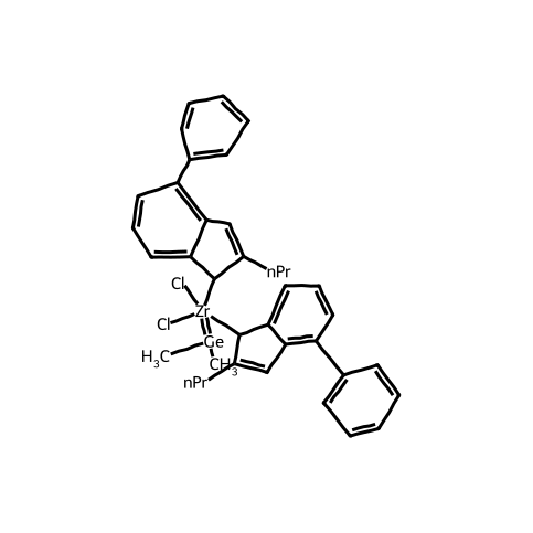 CCCC1=Cc2c(-c3ccccc3)cccc2[CH]1[Zr]([Cl])([Cl])([CH]1C(CCC)=Cc2c(-c3ccccc3)cccc21)=[Ge]([CH3])[CH3]